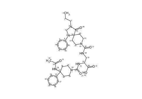 CCCN1CN(c2ccccc2)C2(CCN(C(=O)NCC(NC(=O)N3CCC(NC(C)=O)(c4ccccc4)CC3)C(=O)O)CC2)C1=O